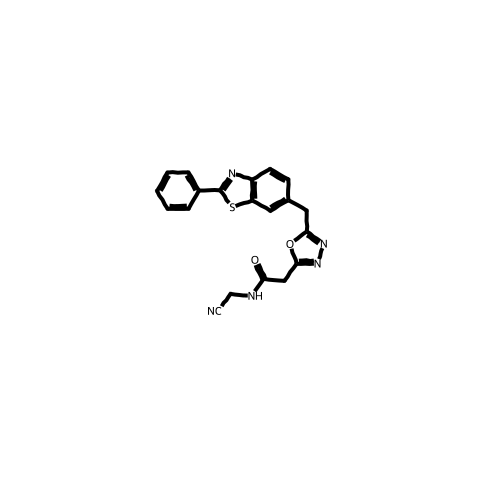 N#CCNC(=O)Cc1nnc(Cc2ccc3nc(-c4ccccc4)sc3c2)o1